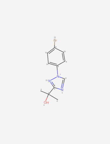 CC(C)(O)c1ncn(-c2ccc(Br)cc2)n1